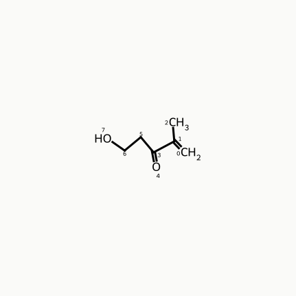 C=C(C)C(=O)CCO